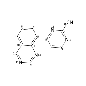 N#Cc1nccc(-c2cccc3cncnc23)n1